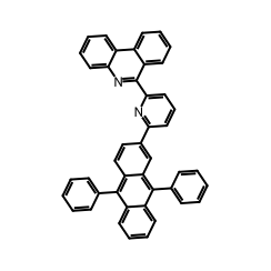 c1ccc(-c2c3ccccc3c(-c3ccccc3)c3cc(-c4cccc(-c5nc6ccccc6c6ccccc56)n4)ccc23)cc1